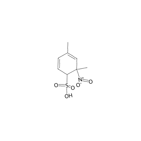 CC1=CC(C)([N+](=O)[O-])C(S(=O)(=O)O)C=C1